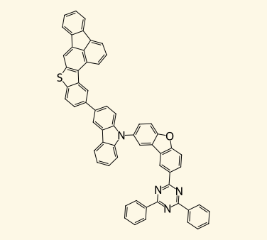 c1ccc(-c2nc(-c3ccccc3)nc(-c3ccc4oc5ccc(-n6c7ccccc7c7cc(-c8ccc9sc%10cc%11c%12c(cccc%12c%10c9c8)-c8ccccc8-%11)ccc76)cc5c4c3)n2)cc1